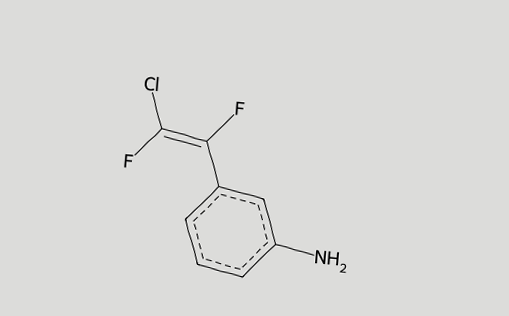 Nc1cccc(/C(F)=C(\F)Cl)c1